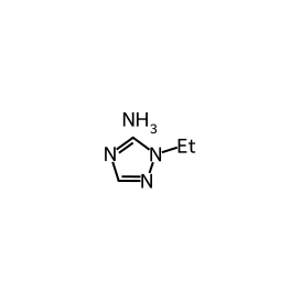 CCn1cncn1.N